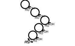 C=COC=C.CO.CO.OCC1(CO)CCCCCCCCCCCCCC1.OCC1(CO)CCCCCCCCCCCCCC1.OCC1(CO)CCCCCCCCCCCCCC1.OCC1(CO)CCCCCCCCCCCCCC1.OCC1(CO)CCCCCCCCCCCCCC1